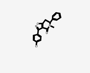 CN1C(=O)c2c(-c3ccc(Cl)cc3)noc2CC1c1ccccc1